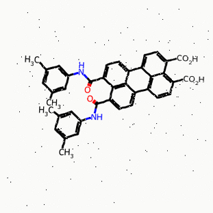 Cc1cc(C)cc(NC(=O)c2ccc3c4ccc(C(=O)O)c5c(C(=O)O)ccc(c6ccc(C(=O)Nc7cc(C)cc(C)c7)c2c36)c54)c1